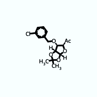 CC(=O)[C@H]1O[C@@H]2OC(C)(C)O[C@@H]2[C@H]1OCc1cccc(Cl)c1